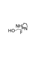 N[C@@H](CO)C(F)c1ccccn1